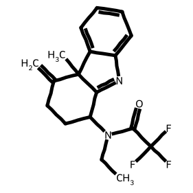 C=C1CCC(N(CC)C(=O)C(F)(F)F)C2=Nc3ccccc3C12C